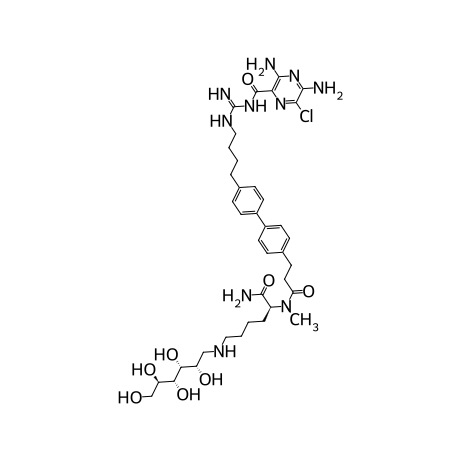 CN(C(=O)CCc1ccc(-c2ccc(CCCCNC(=N)NC(=O)c3nc(Cl)c(N)nc3N)cc2)cc1)[C@@H](CCCCNC[C@H](O)[C@@H](O)[C@H](O)[C@H](O)CO)C(N)=O